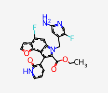 CCOC(=O)c1c(-c2ccc[nH]c2=O)c2c3occc3c(F)cc2n1Cc1cc(N)ncc1F